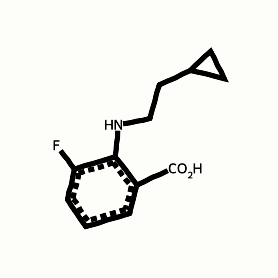 O=C(O)c1cccc(F)c1NCCC1CC1